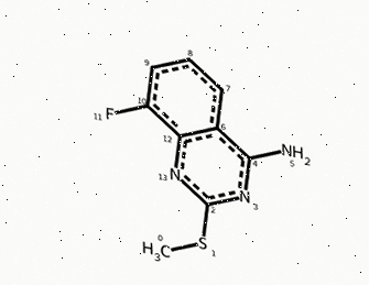 CSc1nc(N)c2cccc(F)c2n1